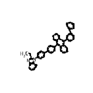 CCc1nc2ccccc2n1-c1ccc(-c2ccc(-c3c4ccccc4c(-c4cccc(-c5ccccc5)c4)c4ccccc34)cc2)cc1